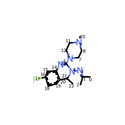 CC(C)=NN1C(N2CCN(C)CC2)=Nc2cc(F)ccc2C1C